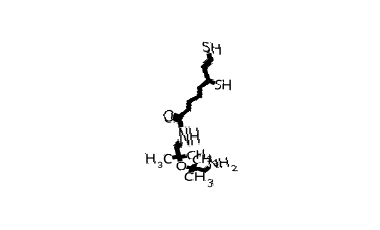 CC(C)(CN)OC(C)(C)CNC(=O)CCCCC(S)CCS